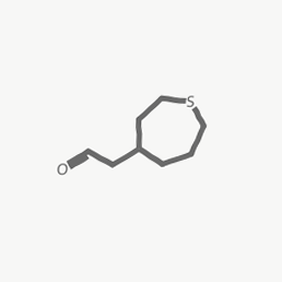 O=CCC1CCCSCC1